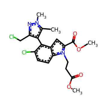 COC(=O)CCn1c(C(=O)OC)cc2c(-c3c(CCl)nn(C)c3C)c(Cl)ccc21